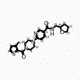 Cc1ccsc1C(=O)N1CCN(c2ccc(C(=O)NCC3CCCO3)cn2)CC1